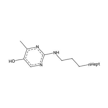 CCCCCCCCCCNc1ncc(O)c(C)n1